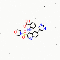 O=C(O)c1ccccc1Nc1c(S(=O)(=O)N2CCOCC2)cnc2ccc(-c3cncnc3)cc12